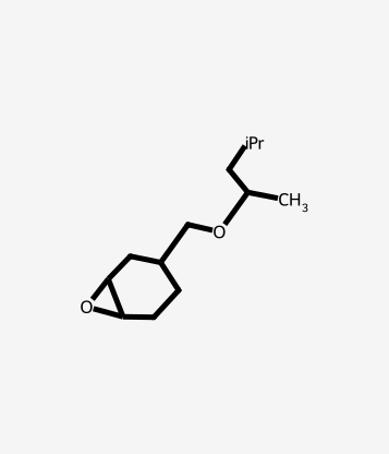 CC(C)CC(C)OCC1CCC2OC2C1